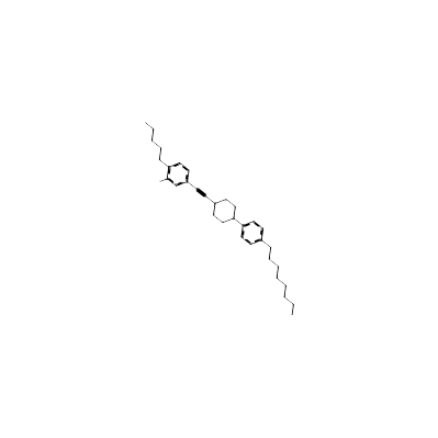 CCCCCCCCc1ccc(C2CCC(C#Cc3ccc(CCCCC)c(F)c3)CC2)cc1